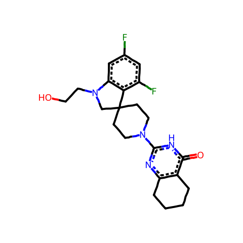 O=c1[nH]c(N2CCC3(CC2)CN(CCO)c2cc(F)cc(F)c23)nc2c1CCCC2